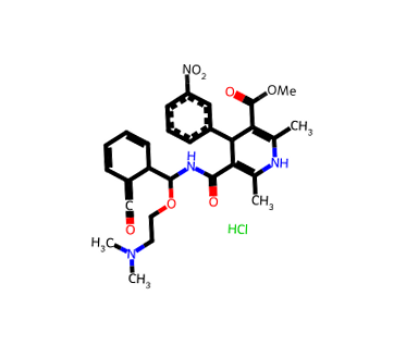 COC(=O)C1=C(C)NC(C)=C(C(=O)NC(OCCN(C)C)C2C=CC=CC2=C=O)C1c1cccc([N+](=O)[O-])c1.Cl